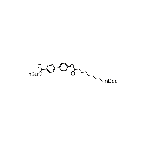 CCCCCCCCCCCCCCCCCCC(=O)Oc1ccc(-c2ccc(C(=O)OCCCC)cc2)cc1